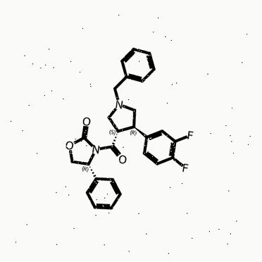 O=C1OC[C@@H](c2ccccc2)N1C(=O)[C@@H]1CN(Cc2ccccc2)C[C@H]1c1ccc(F)c(F)c1